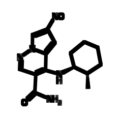 C[C@@H]1CCCC[C@@H]1Nc1c(C(N)=O)cnn2cc(N=O)cc12